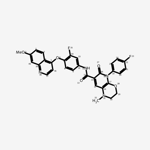 COc1ccc2c(Oc3ccc(NC(=O)c4cc5c(n(-c6ccc(F)cc6)c4=O)OCCN5C)cc3F)ccnc2c1